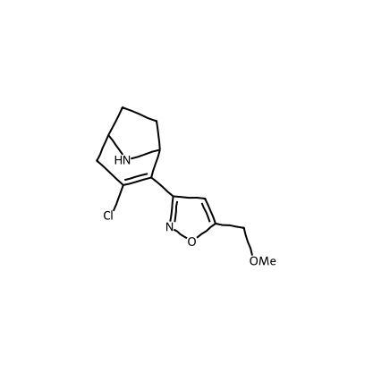 COCc1cc(C2=C(Cl)CC3CCC2N3)no1